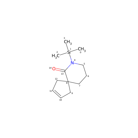 C[Si](C)(C)N1CCCC2(CC=CC2)C1=O